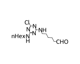 CCCCCCNc1nc(Cl)nc(NCCCCCC=O)n1